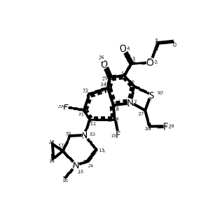 CCOC(=O)c1c2n(c3c(F)c(N4CCN(C)C5(CC5)C4)c(F)cc3c1=O)C(CF)S2